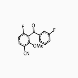 COc1c(C#N)ccc(F)c1C(=O)c1cccc(F)c1